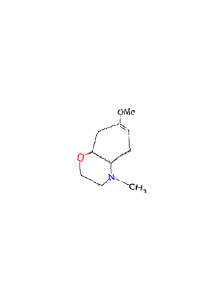 COC1=CCC2C(C1)OCCN2C